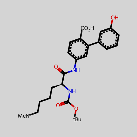 CNCCCC[C@H](NC(=O)OC(C)(C)C)C(=O)Nc1ccc(C(=O)O)c(-c2cccc(O)c2)c1